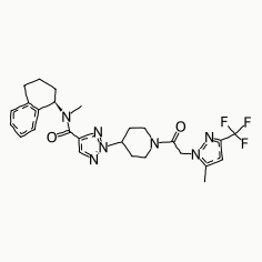 Cc1cc(C(F)(F)F)nn1CC(=O)N1CCC(n2ncc(C(=O)N(C)[C@@H]3CCCc4ccccc43)n2)CC1